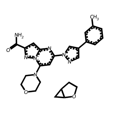 C1CC2CC2O1.Cc1cccc(-c2cnn(-c3cc(N4CCOCC4)n4nc(C(N)=O)cc4n3)c2)c1